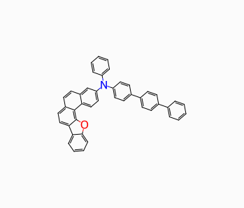 c1ccc(-c2ccc(-c3ccc(N(c4ccccc4)c4ccc5c(ccc6ccc7c8ccccc8oc7c65)c4)cc3)cc2)cc1